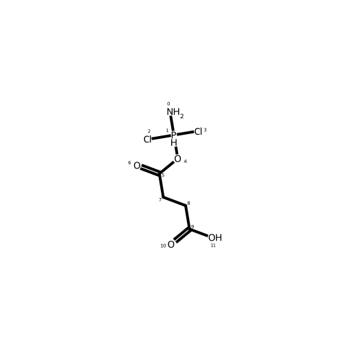 N[PH](Cl)(Cl)OC(=O)CCC(=O)O